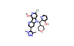 COc1nc(Cl)cc2c1c1ncc(-c3c(C)nnn3C)cc1n2C(c1ncccc1O)C1CCOCC1